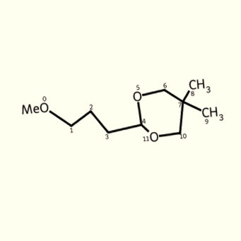 COCCCC1OCC(C)(C)CO1